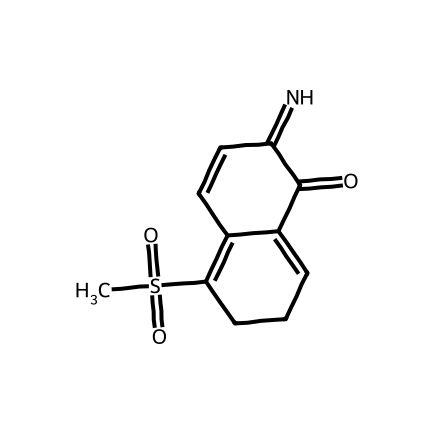 CS(=O)(=O)C1=C2C=CC(=N)C(=O)C2=CCC1